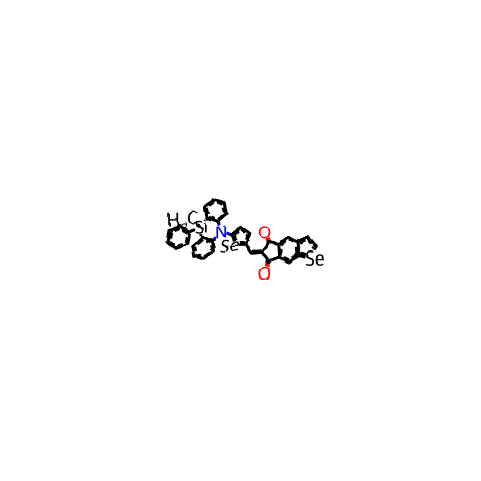 C[Si]1(c2ccccc2)c2ccccc2N(c2ccc(/C=C3\C(=O)c4cc5cc[se]c5cc4C3=O)[se]2)c2ccccc21